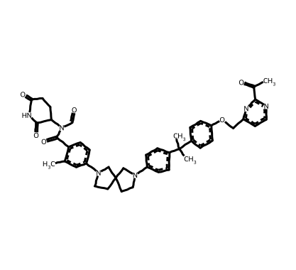 CC(=O)c1nccc(COc2ccc(C(C)(C)c3ccc(N4CCC5(CCN(c6ccc(C(=O)N(C=O)C7CCC(=O)NC7=O)c(C)c6)C5)C4)cc3)cc2)n1